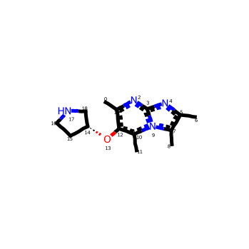 Cc1nc2nc(C)c(C)n2c(C)c1O[C@@H]1CCNC1